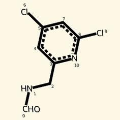 O=CNCc1cc(Cl)cc(Cl)n1